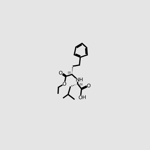 CCOC(=O)[C@H](CCc1ccccc1)N[C@@H](CC(C)C)C(=O)O